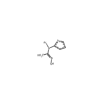 CC(=O)N(C(=NO)C(=O)O)c1cccs1